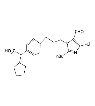 CCCCc1nc(Cl)c(C=O)n1CCCc1ccc(C(C(=O)O)C2CCCC2)cc1